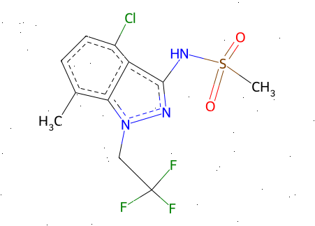 Cc1ccc(Cl)c2c(NS(C)(=O)=O)nn(CC(F)(F)F)c12